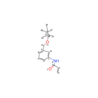 C=CC(=O)Nc1[c]ccc(CO[Si](C)(C)C(C)(C)C)c1